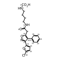 O=C(O)NCCCCNC(=O)Cc1onc(-c2ccc(Cl)o2)c1-c1ccccc1